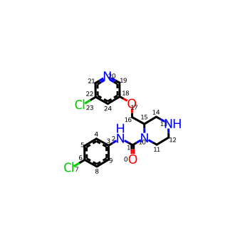 O=C(Nc1ccc(Cl)cc1)N1CCNCC1COc1cncc(Cl)c1